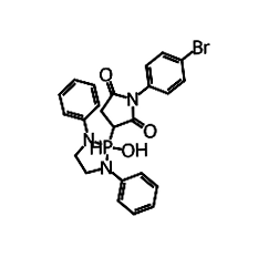 O=C1CC([PH]2(O)N(c3ccccc3)CCN2c2ccccc2)C(=O)N1c1ccc(Br)cc1